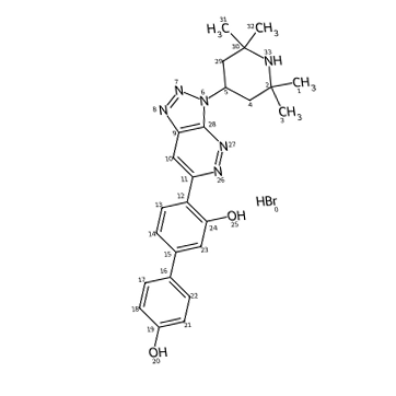 Br.CC1(C)CC(n2nnc3cc(-c4ccc(-c5ccc(O)cc5)cc4O)nnc32)CC(C)(C)N1